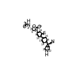 CC(=O)NC[C@H]1CN(c2ccc(-c3ccc(C4(C#N)C5CNCC54)cc3)c(F)c2)C(=O)O1